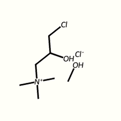 CO.C[N+](C)(C)CC(O)CCl.[Cl-]